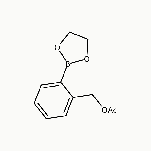 CC(=O)OCc1ccccc1B1OCCO1